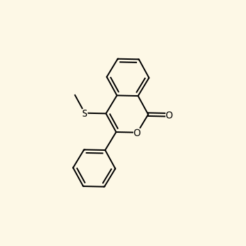 CSc1c(-c2ccccc2)oc(=O)c2ccccc12